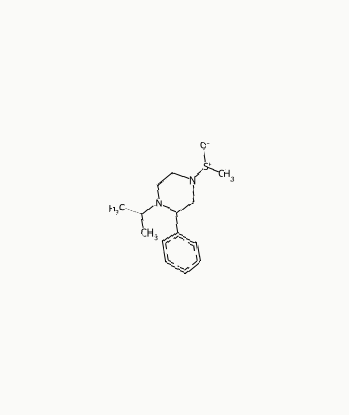 CC(C)N1CCN([S+](C)[O-])CC1c1ccccc1